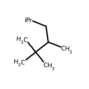 CC(C)CC(C)C(C)(C)C